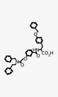 O=C(NC(Cc1ccc(OCc2ccccc2)cc1)C(=O)O)c1cccc(OCC(=O)N(CCc2ccccc2)Cc2ccccc2)c1